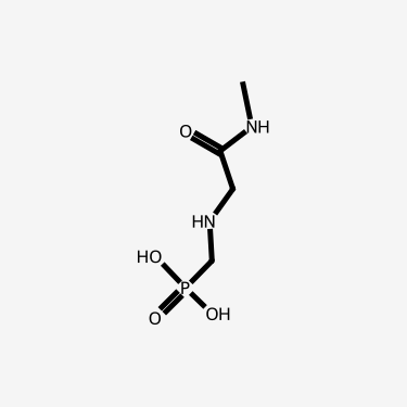 CNC(=O)CNCP(=O)(O)O